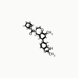 Cc1nc2ccc(-c3cc(C)c4c(c3)CN(C(=O)N3CC5CCC3C5)CCO4)cc2[nH]1